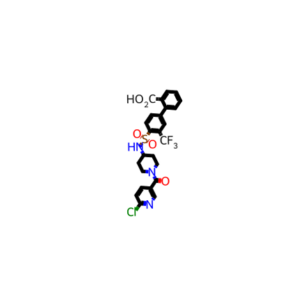 O=C(O)c1ccccc1-c1ccc(S(=O)(=O)NC2CCN(C(=O)c3ccc(Cl)nc3)CC2)c(C(F)(F)F)c1